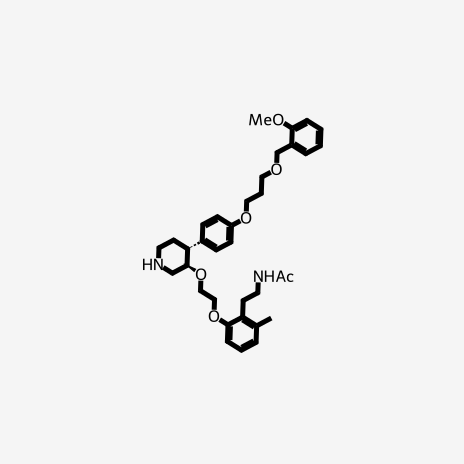 COc1ccccc1COCCCOc1ccc([C@H]2CCNC[C@@H]2OCCOc2cccc(C)c2CCNC(C)=O)cc1